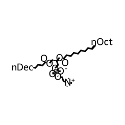 CCCCCCCC/C=C\CCCCCCCC(=O)O[C@H](COC(=O)CCCCCCCCCCCCC)COP(=O)([O-])OCC[N+](C)(C)C